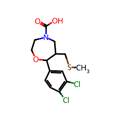 CSCC1CN(C(=O)O)CCOC1c1ccc(Cl)c(Cl)c1